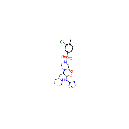 Cc1ccc(S(=O)(=O)N2CCN(C(CC3CCCCC3)C(=O)Nc3nccs3)C(=O)C2)cc1Cl